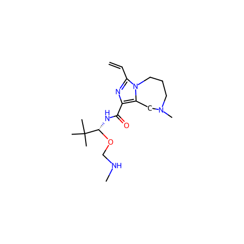 C=Cc1nc(C(=O)N[C@H](OCNC)C(C)(C)C)c2n1CCCN(C)C2